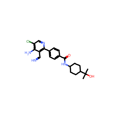 CC(C)(O)C1CCC(NC(=O)c2ccc(-c3ncc(Cl)c(N)c3C=N)cc2)CC1